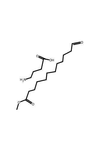 COC(=O)CCCCCCCCCCC=O.NCCCC(=O)O